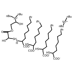 CC(C)CCCCCC(S)C(=O)[O-].CC(C)CCCCCC(S)C(=O)[O-].CC(C)CCCCCC(S)C(=O)[O-].CC(C)CCCCCC(S)C(=O)[O-].CCC[CH2][Sn+2][CH2]CCC.CCC[CH2][Sn+]([CH2]CCC)[CH](O)COC(=O)C(S)S